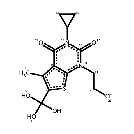 Cc1c(C(O)(O)O)sc2c1c(=O)n(C1CC1)c(=O)n2CCC(F)(F)F